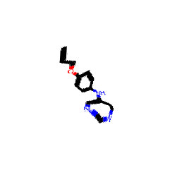 C=CCOc1ccc(Nc2cn[c]nc2)cc1